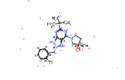 CC(C)(C)c1nc(N2CC[C@](C)(O)C2)c2nn(Cc3ccccc3Cl)nc2n1